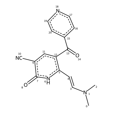 CN(C)C=Cc1[nH]c(=O)c(C#N)cc1C(=O)c1ccncc1